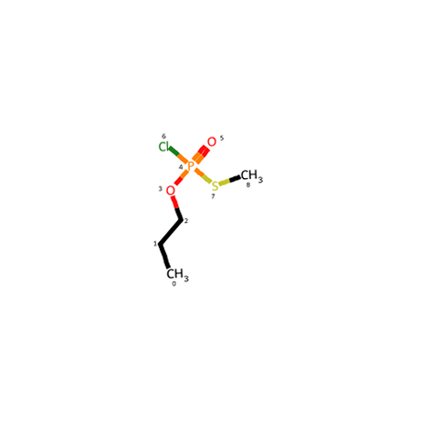 CCCOP(=O)(Cl)SC